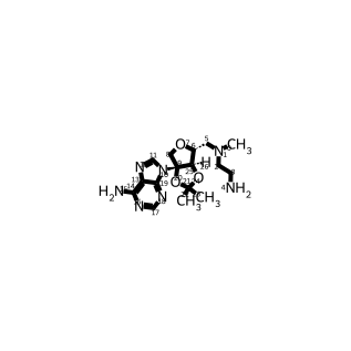 CN(CCN)C[C@H]1OC[C@@]2(n3cnc4c(N)ncnc43)OC(C)(C)O[C@H]12